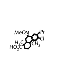 CO/N=C1\CC2[C@](C)(C(=O)O)CCC[C@]2(C)c2cc(Cl)c(C(C)C)cc21